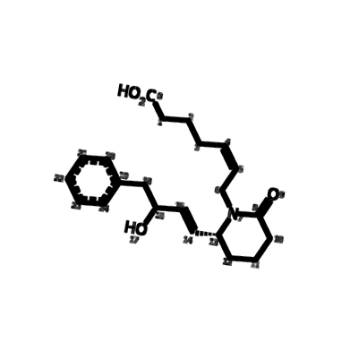 O=C(O)CCC/C=C\CN1C(=O)CCC[C@@H]1/C=C/C(O)Cc1ccccc1